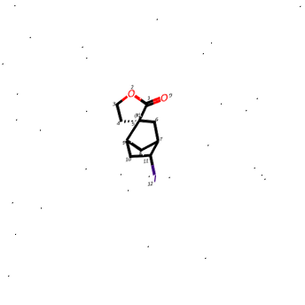 O=C1OCC[C@@]12CC1CC2CC1I